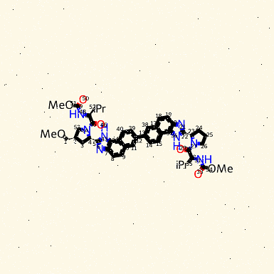 COC[C@H]1C[C@@H](c2nc3ccc4cc(-c5ccc6c(ccc7nc([C@@H]8CCCN8C(=O)C(NC(=O)OC)C(C)C)[nH]c76)c5)ccc4c3[nH]2)N(C(=O)[C@@H](NC(=O)OC)C(C)C)C1